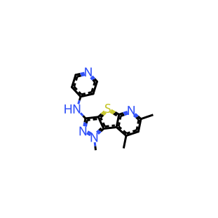 Cc1cc(C)c2c(n1)sc1c(Nc3ccncc3)nn(C)c12